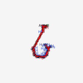 CC(=O)N1c2ccc(-c3ccc(C(=O)NCCOCCOCCOCCOCCOCCOCCOCCOCCNC(=O)c4nc(NC(=O)CCNC(=O)c5cc(NC(=O)c6nc(NC(=O)CCNC(=O)c7cc(NC(=O)c8nc(NC(=O)CCNC(=O)[C@H](CCCNC(=N)N)NC(=O)[C@@H](N)CCCNC(=N)N)cn8C)cn7C)cn6C)cn5C)cn4C)cc3)cc2[C@H](N(O)c2ccc(Cl)cc2)C[C@@H]1C